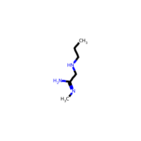 CCCNC/C(N)=N/C